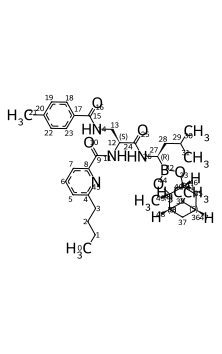 CCCCc1cccc(C(=O)N[C@@H](CNC(=O)c2ccc(C)cc2)C(=O)N[C@@H](CC(C)C)B2O[C@@H]3C[C@@H]4C[C@@H](C4(C)C)[C@]3(C)O2)n1